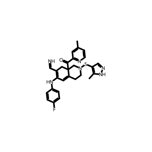 Cc1ccnc(C(=O)C23CC(C=N)=C(Nc4ccc(F)cc4)C=C2CCN(Sc2cn[nH]c2C)C3)c1